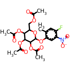 CC(=O)OCC1OC(Oc2cc([N+](=O)[O-])c(F)cc2C)C(OC(C)=O)C(OC(C)=O)C1OC(C)=O